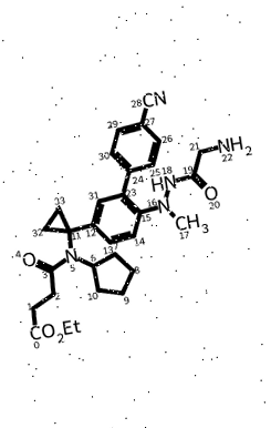 CCOC(=O)CCC(=O)N(C1CCCC1)C1(c2ccc(N(C)NC(=O)CN)c(-c3ccc(C#N)cc3)c2)CC1